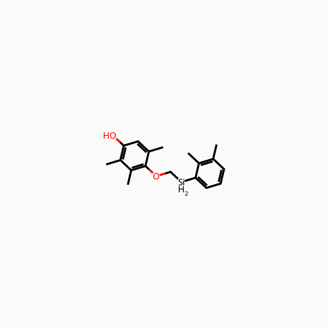 Cc1cccc([SiH2]COc2c(C)cc(O)c(C)c2C)c1C